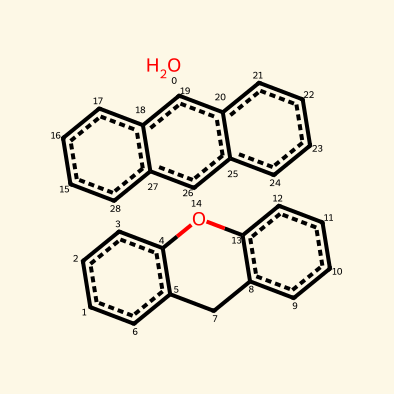 O.c1ccc2c(c1)Cc1ccccc1O2.c1ccc2cc3ccccc3cc2c1